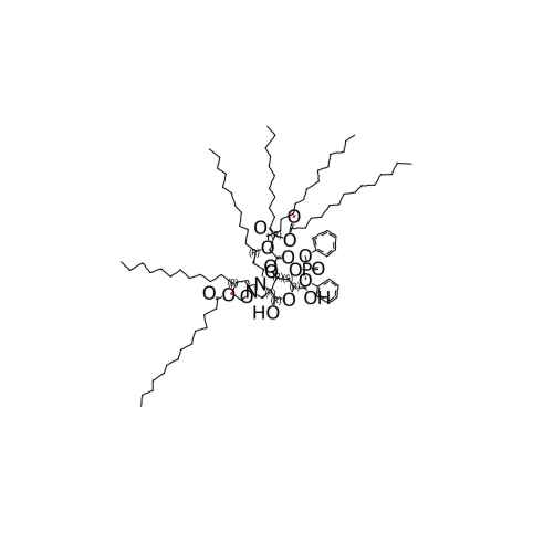 CCCCCCCCCCCCCC(=O)O[C@H](CCCCCCCCCCC)CC(=O)O[C@H]1[C@H](OP(=O)(Oc2ccccc2)Oc2ccccc2)[C@@H](CO)O[C@@H](O)[C@]1(CN1CCCC1)N(C(=O)C[C@@H](CCCCCCCCCCC)OC(=O)CCCCCCCCCCCCC)C(=O)C[C@@H](CCCCCCCCCCC)OC(=O)CCCCCCCCCCCCC